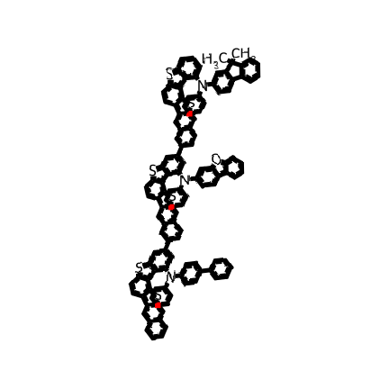 CC1(C)c2ccccc2-c2ccc(N(c3ccccc3)c3cccc4sc5ccc6c7cc8cc(-c9cc(N(c%10ccccc%10)c%10ccc%11c(c%10)oc%10ccccc%10%11)c%10c(c9)sc9ccc%11c%12cc%13cc(-c%14cc(N(c%15ccccc%15)c%15ccc(-c%16ccccc%16)cc%15)c%15c(c%14)sc%14ccc%16c%17cc%18ccccc%18cc%17sc%16c%14%15)ccc%13cc%12sc%11c9%10)ccc8cc7sc6c5c34)cc21